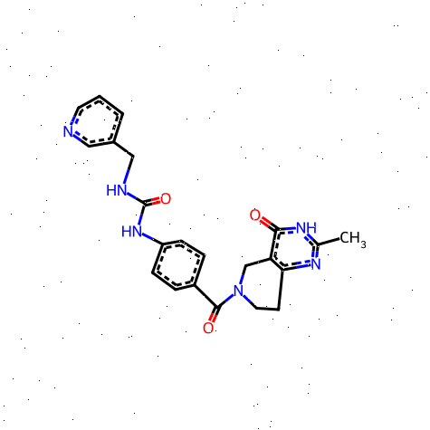 Cc1nc2c(c(=O)[nH]1)CN(C(=O)c1ccc(NC(=O)NCc3cccnc3)cc1)CC2